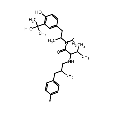 CC(C)C(NCC(N)Cc1ccc(F)cc1)C(=O)N(C)C(C)Cc1ccc(O)c(C(C)(C)C)c1